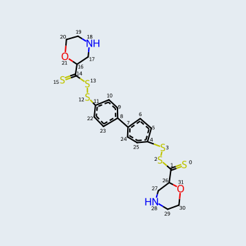 S=C(SSc1ccc(-c2ccc(SSC(=S)C3CNCCO3)cc2)cc1)C1CNCCO1